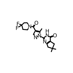 Cc1c(C(=O)N2CCC(F)(F)CC2)cnn1-c1nc2c(c(=O)[nH]1)CC(C)(C)C2